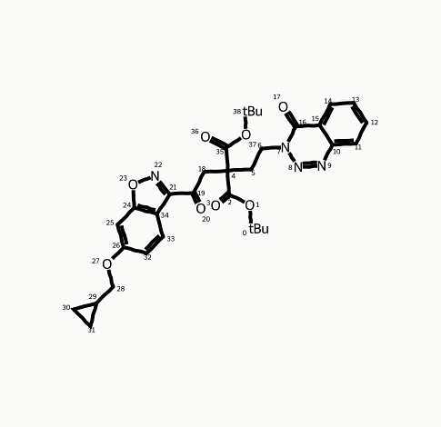 CC(C)(C)OC(=O)C(CCn1nnc2ccccc2c1=O)(CC(=O)c1noc2cc(OCC3CC3)ccc12)C(=O)OC(C)(C)C